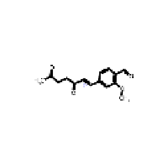 COc1cc(/C=C/C(=O)CCC(C)=O)ccc1C=O